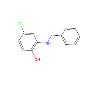 Oc1ccc(Cl)cc1NCc1ccccc1